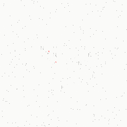 CC(C)OC(=O)N1C2CCC1CC(N1CCC3(CC1)CN(C(=O)N(C)C)c1ccc(F)cc13)C2